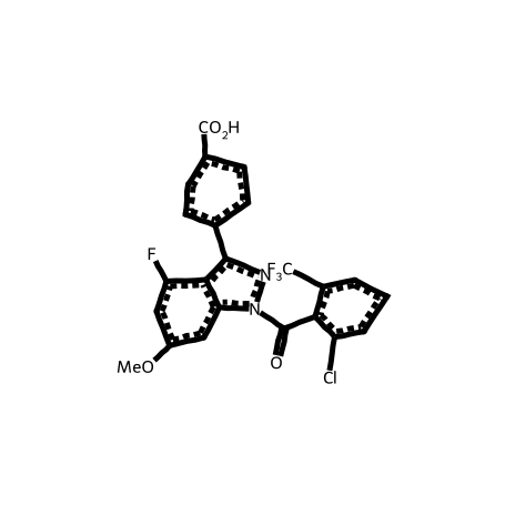 COc1cc(F)c2c(-c3ccc(C(=O)O)cc3)nn(C(=O)c3c(Cl)cccc3C(F)(F)F)c2c1